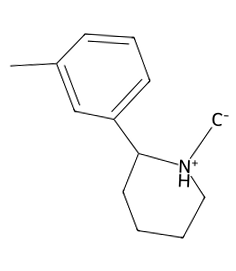 [CH2-][NH+]1CCCCC1c1cccc(C)c1